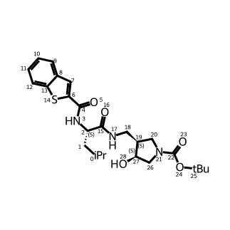 CC(C)C[C@H](NC(=O)c1cc2ccccc2s1)C(=O)NC[C@H]1CN(C(=O)OC(C)(C)C)C[C@H]1O